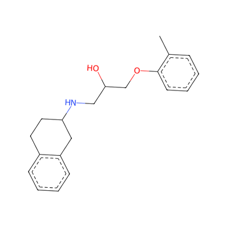 Cc1ccccc1OCC(O)CNC1CCc2ccccc2C1